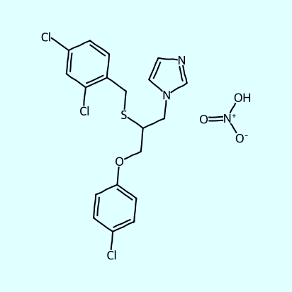 Clc1ccc(OCC(Cn2ccnc2)SCc2ccc(Cl)cc2Cl)cc1.O=[N+]([O-])O